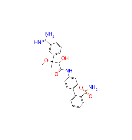 COC(C)(c1cccc(C(=N)N)c1)C(O)C(=O)Nc1ccc(-c2ccccc2S(N)(=O)=O)cc1